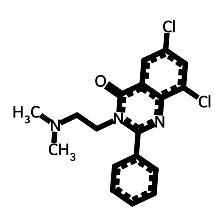 CN(C)CCn1c(-c2ccccc2)nc2c(Cl)cc(Cl)cc2c1=O